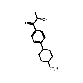 CC(O)C(=O)c1ccc(C2CCC(C(=O)O)CC2)cc1